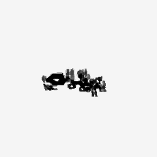 CC[C@@H](NS(=O)(=O)c1cn(C)c(C(=O)Nc2ccc(F)c(C#N)c2)c1Cl)C(F)(F)F